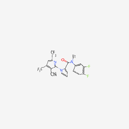 CCN(C(=O)c1cccn1-c1nc(C(F)(F)F)cc(C(F)(F)F)c1C#N)c1ccc(F)c(F)c1